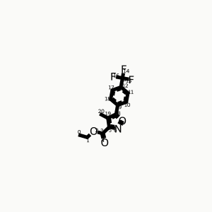 CCOC(=O)c1noc(-c2ccc(C(F)(F)F)cc2)c1C